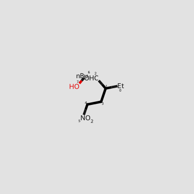 CCC(C=O)CC[N+](=O)[O-].CCCCO